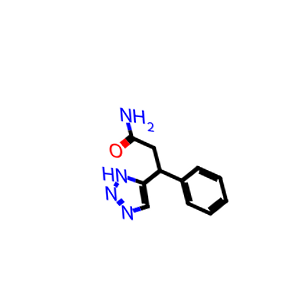 NC(=O)CC(c1ccccc1)c1cnn[nH]1